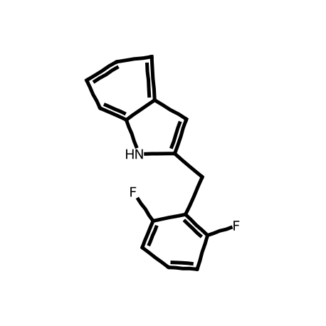 Fc1cccc(F)c1Cc1cc2ccccc2[nH]1